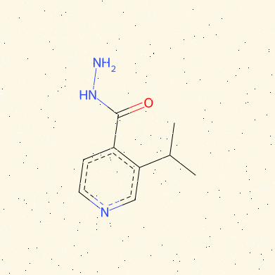 CC(C)c1cnccc1C(=O)NN